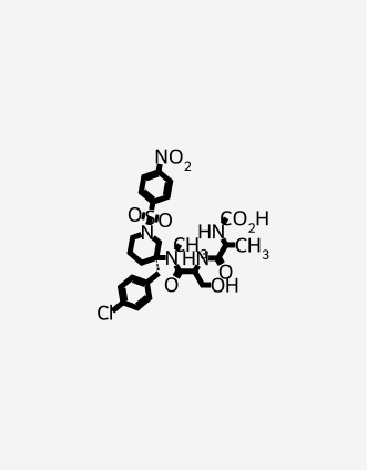 CC(NC(=O)O)C(=O)NC(CO)C(=O)N(C)[C@@]1(Cc2ccc(Cl)cc2)CCCN(S(=O)(=O)c2ccc([N+](=O)[O-])cc2)C1